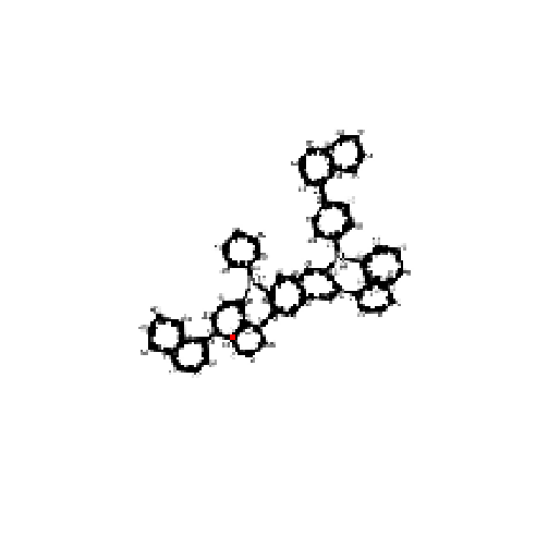 c1ccc(-c2cc3cc(-c4ccccc4)c(N(c4ccccc4)c4ccc(-c5cccc6ccccc56)cc4)cc3cc2N(c2ccccc2)c2ccc(-c3cccc4ccccc34)cc2)cc1